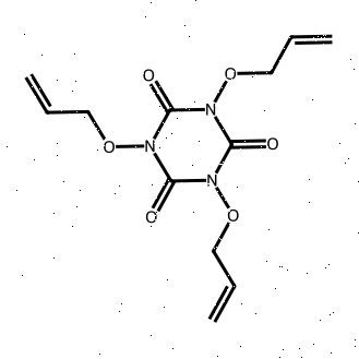 C=CCOn1c(=O)n(OCC=C)c(=O)n(OCC=C)c1=O